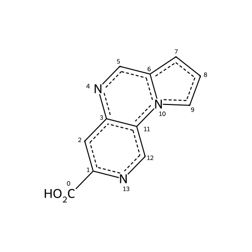 O=C(O)c1cc2ncc3cccn3c2cn1